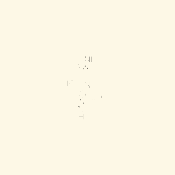 Cl.O=C(O)CC(CN1CC[C@@H](CCc2ccc3c(n2)NCCC3)C1)c1cccc(N2CCNCC2)c1